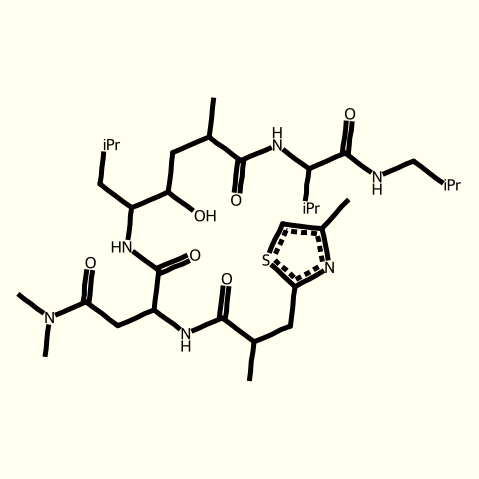 Cc1csc(CC(C)C(=O)NC(CC(=O)N(C)C)C(=O)NC(CC(C)C)C(O)CC(C)C(=O)NC(C(=O)NCC(C)C)C(C)C)n1